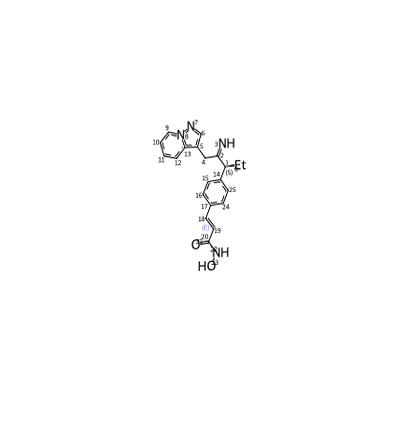 CC[C@H](C(=N)Cc1cnn2ccccc12)c1ccc(/C=C/C(=O)NO)cc1